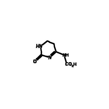 O=C(O)NC1=NC(=O)NCC1